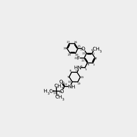 Cc1ccc(CNC2CCC(NC(=O)OC(C)(C)C)CC2)c(F)c1Oc1ccccc1